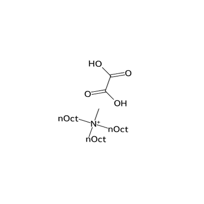 CCCCCCCC[N+](C)(CCCCCCCC)CCCCCCCC.O=C(O)C(=O)O